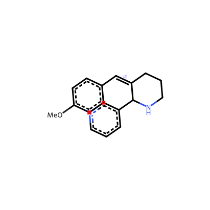 COc1ccc(/C=C2/CCCNC2c2cccnc2)cc1